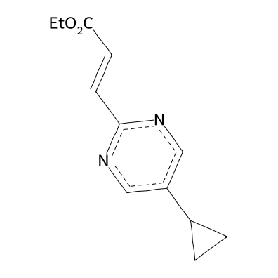 CCOC(=O)/C=C/c1ncc(C2CC2)cn1